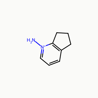 N[n+]1cccc2c1CCC2